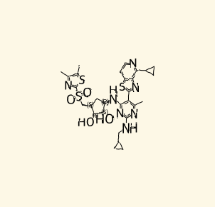 Cc1nc(S(=O)(=O)C[C@H]2C[C@@H](Nc3nc(NCC4CC4)nc(C)c3-c3nc4c(C5CC5)nccc4s3)[C@H](O)[C@@H]2O)sc1C